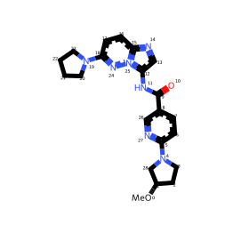 COC1CCN(c2ccc(C(=O)Nc3cnc4ccc(N5CCCC5)nn34)cn2)C1